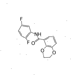 O=C(Nc1cc(F)ccc1F)c1cccc2c1OCCO2